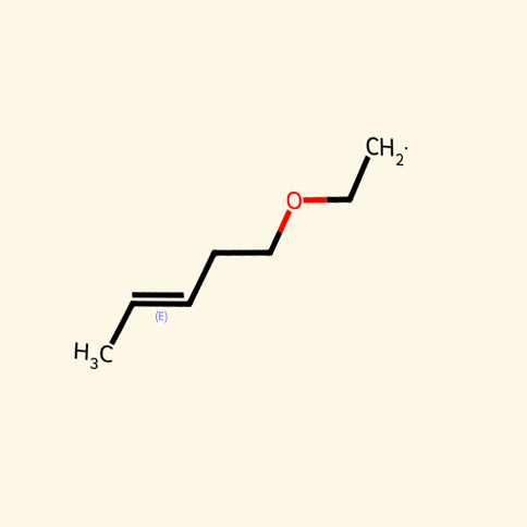 [CH2]COCC/C=C/C